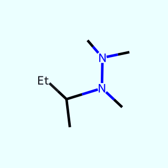 CCC(C)N(C)N(C)C